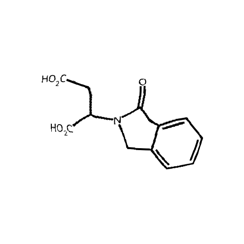 O=C(O)CC(C(=O)O)N1Cc2ccccc2C1=O